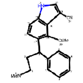 CNCCC(c1ccccc1)c1ccc2[nH]cc(C#N)c2c1OC